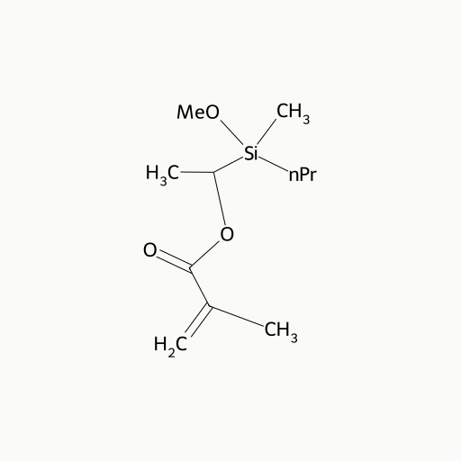 C=C(C)C(=O)OC(C)[Si](C)(CCC)OC